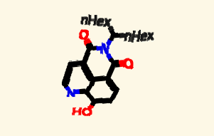 CCCCCCC(CCCCCC)N1C(=O)c2ccnc3c(O)ccc(c23)C1=O